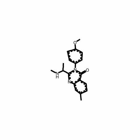 CNC(C)c1nc2cc(C)ccc2c(=O)n1-c1ccc(OC)cc1